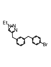 CCn1cc(Cc2cccc(Cc3ccc(Br)cc3)c2)nn1